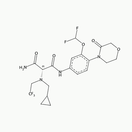 NC(=O)[C@H](C(=O)Nc1ccc(N2CCOCC2=O)c(OC(F)F)c1)N(CC1CC1)CC(F)(F)F